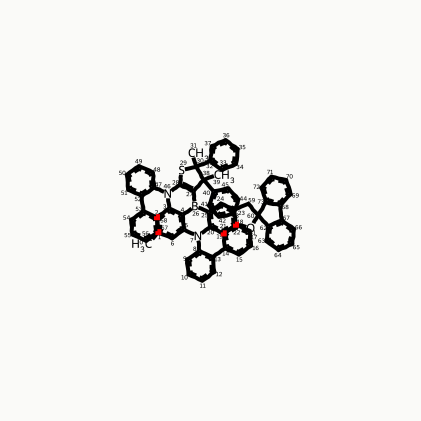 Cc1cc2c3c(c1)N(c1ccccc1-c1ccccc1)c1cc4c(cc1B3C1=C(SC(C)(c3ccccc3)C1(C)c1ccccc1)N2c1ccccc1-c1ccccc1)CC1(O4)c2ccccc2-c2ccccc21